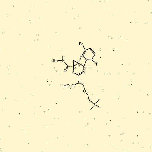 CC(C)(C)NC(=O)[C@]12C[C@H]1[C@@](C)(c1cc(Br)ccc1F)N=C(N(COCC[Si](C)(C)C)C(=O)O)S2